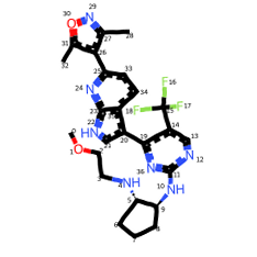 COCCN[C@H]1CCC[C@@H]1Nc1ncc(C(F)(F)F)c(-c2c[nH]c3nc(-c4c(C)noc4C)ccc23)n1